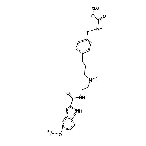 CN(CCCc1ccc(CNC(=O)OC(C)(C)C)cc1)CCNC(=O)c1cc2cc(OC(F)(F)F)ccc2[nH]1